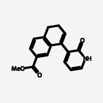 COC(=O)c1ccc2c(c1)C(c1ccc[nH]c1=O)=CCC2